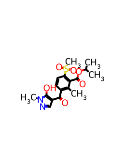 Cc1c(C(=O)c2cnn(C)c2O)ccc(S(C)(=O)=O)c1C(=O)OC(C)C